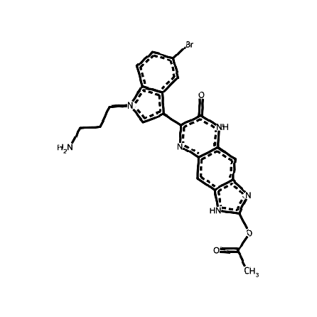 CC(=O)Oc1nc2cc3[nH]c(=O)c(-c4cn(CCCN)c5ccc(Br)cc45)nc3cc2[nH]1